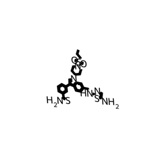 CCCS(=O)(=O)N1CCC(n2cc(-c3cccc(C(N)=S)c3)c3ccc(CNc4ncc(N)s4)cc32)CC1